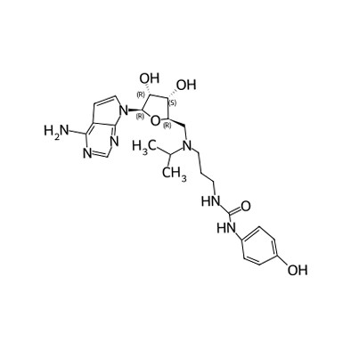 CC(C)N(CCCNC(=O)Nc1ccc(O)cc1)C[C@H]1O[C@@H](n2ccc3c(N)ncnc32)[C@H](O)[C@@H]1O